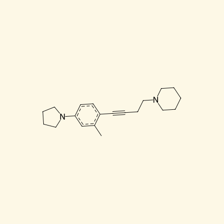 Cc1cc(N2CCCC2)ccc1C#CCCN1CCCCC1